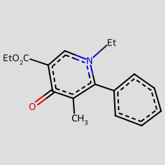 CCOC(=O)c1cn(CC)c(-c2ccccc2)c(C)c1=O